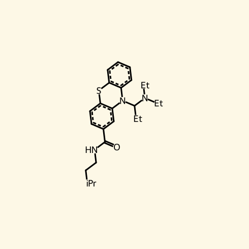 CCC(N(CC)CC)N1c2ccccc2Sc2ccc(C(=O)NCCC(C)C)cc21